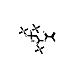 C=C(C)C(=O)OC(CC([SiH3])(O[Si](C)(C)C)O[Si](C)(C)C)O[Si](C)(C)C